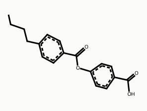 CCCCc1ccc(C(=O)Oc2ccc(C(=O)O)cc2)cc1